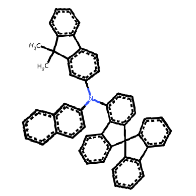 CC1(C)c2ccccc2-c2ccc(N(c3ccc4ccccc4c3)c3cccc4c3-c3ccccc3C43c4ccccc4-c4ccccc43)cc21